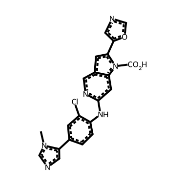 Cn1cncc1-c1ccc(Nc2cc3c(cn2)cc(-c2cnco2)n3C(=O)O)c(Cl)c1